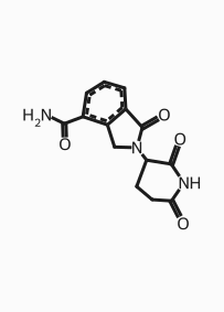 NC(=O)c1cccc2c1CN(C1CCC(=O)NC1=O)C2=O